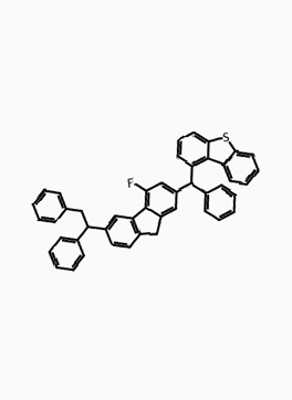 Fc1cc(C(c2ccccc2)c2cccc3sc4ccccc4c23)cc2c1-c1cc(C(Cc3ccccc3)c3ccccc3)ccc1C2